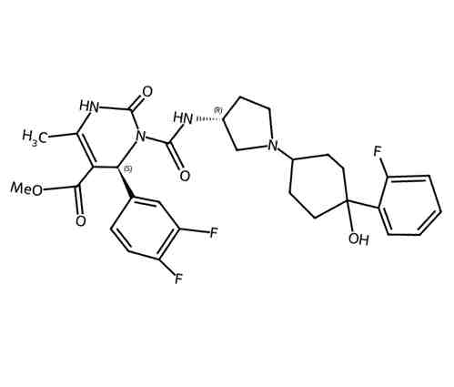 COC(=O)C1=C(C)NC(=O)N(C(=O)N[C@@H]2CCN(C3CCC(O)(c4ccccc4F)CC3)C2)[C@H]1c1ccc(F)c(F)c1